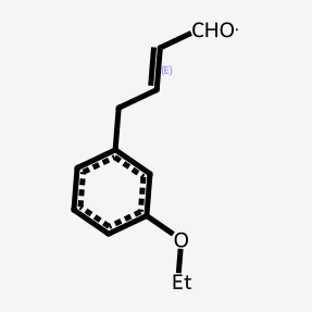 CCOc1cccc(C/C=C/[C]=O)c1